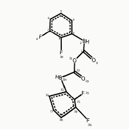 O=C(Bc1cccc(F)c1F)OC(=O)Bc1cccc(F)c1F